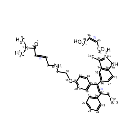 CN(C)C(=O)/C=C/CNCCOc1ccc(/C(=C(/CC(F)(F)F)c2ccccc2)c2ccc3[nH]nc(F)c3c2)cn1.O=C(O)/C=C\C(=O)O